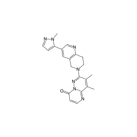 Cc1c(N2CCc3ncc(-c4ccnn4C)cc3C2)nn2c(=O)ccnc2c1C